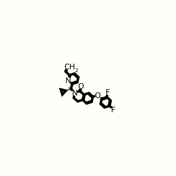 C=Cc1cccc([C@@H](C2CC2)N2CCc3ccc(Oc4ccc(F)cc4F)cc3C2=O)n1